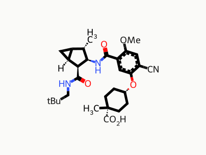 COc1cc(C#N)c(O[C@H]2CC[C@@](C)(C(=O)O)CC2)cc1C(=O)N[C@H]1[C@@H](C(=O)NCC(C)(C)C)[C@H]2CC2[C@@H]1C